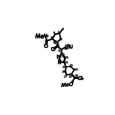 CNC(=O)C1CC(C)CN1C(=O)C(n1cc(C2CCC(C(=O)OC)CC2)nn1)C(C)(C)C